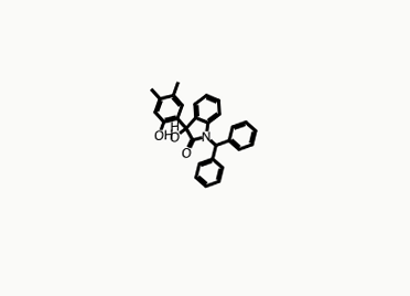 Cc1cc(O)c(C2(O)C(=O)N(C(c3ccccc3)c3ccccc3)c3ccccc32)cc1C